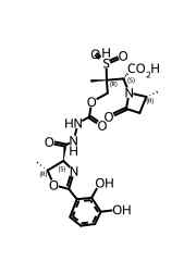 C[C@@H]1CC(=O)N1[C@@H](C(=O)O)[C@](C)(COC(=O)NNC(=O)[C@H]1N=C(c2cccc(O)c2O)O[C@@H]1C)[SH](=O)=O